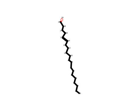 CCCCCCCCCCCCCCC=CCCCC=O